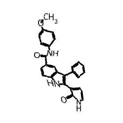 COc1ccc(NC(=O)c2ccc3[nH]c(-c4ccc[nH]c4=O)c(-c4ccccc4)c3c2)cc1